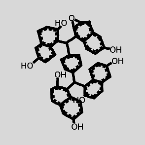 Oc1ccc2c(C(c3ccc(C(c4c(O)ccc5cc(O)ccc45)c4c5c(cc6cc(O)ccc46)O5)cc3)c3c(O)ccc4cc(O)ccc34)c(O)ccc2c1